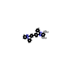 CC(C)(C)c1ccc(C(C)(C)C)c2nc(-c3ccc(-c4ccc(-c5nc6ccccc6n5-c5ccccc5)cc4)cc3)c(-c3ccccc3)nc12